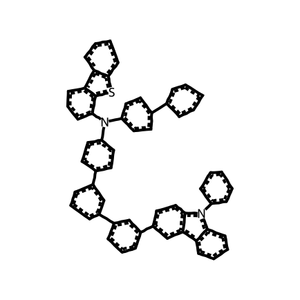 c1ccc(-c2ccc(N(c3ccc(-c4cccc(-c5cccc(-c6ccc7c(c6)c6ccccc6n7-c6ccccc6)c5)c4)cc3)c3cccc4c3sc3ccccc34)cc2)cc1